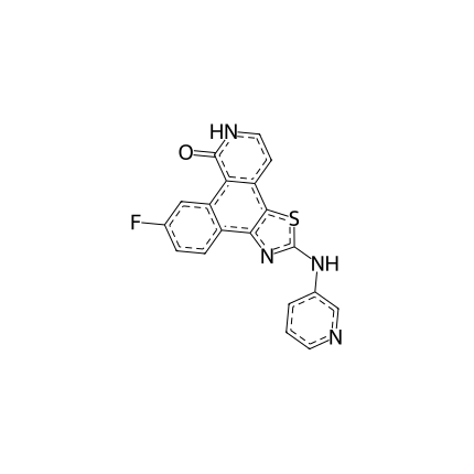 O=c1[nH]ccc2c3sc(Nc4cccnc4)nc3c3ccc(F)cc3c12